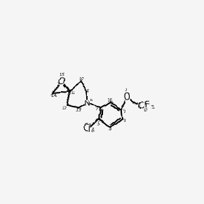 FC(F)(F)Oc1ccc(Cl)c(N2CCC3(CC2)CO3)c1